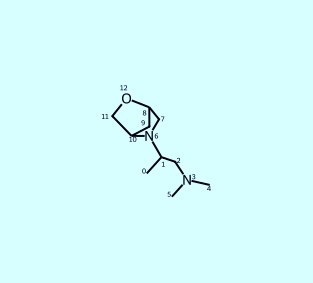 CC(CN(C)C)N1CC2CC1CO2